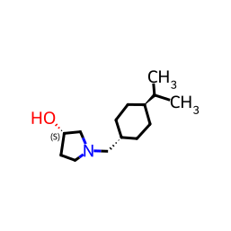 CC(C)[C@H]1CC[C@H](CN2CC[C@H](O)C2)CC1